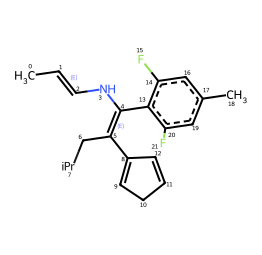 C/C=C/N/C(=C(\CC(C)C)C1=CCC=C1)c1c(F)cc(C)cc1F